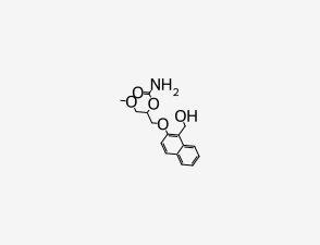 COCC(COc1ccc2ccccc2c1CO)OC(N)=O